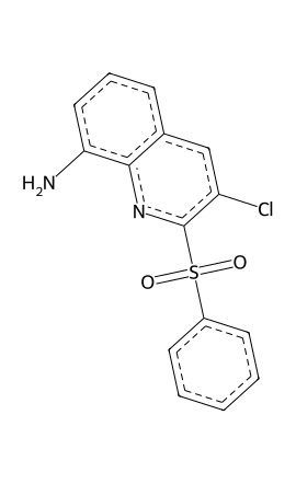 Nc1cccc2cc(Cl)c(S(=O)(=O)c3ccccc3)nc12